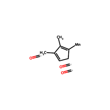 CC1=CC[C]([Mn])=C1C.[C]=O.[C]=O.[C]=O